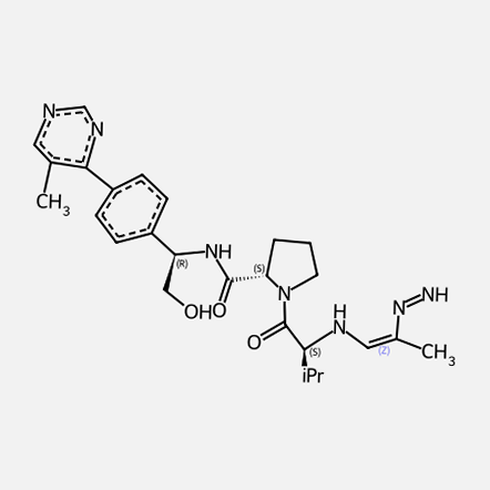 C/C(=C/N[C@H](C(=O)N1CCC[C@H]1C(=O)N[C@@H](CO)c1ccc(-c2ncncc2C)cc1)C(C)C)N=N